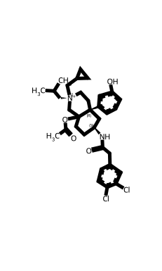 CC(=O)OC12CC[C@H](NC(=O)Cc3ccc(Cl)c(Cl)c3)C[C@@]1(c1cccc(O)c1)CC[N@+](CC(C)C)(CC1CC1)C2